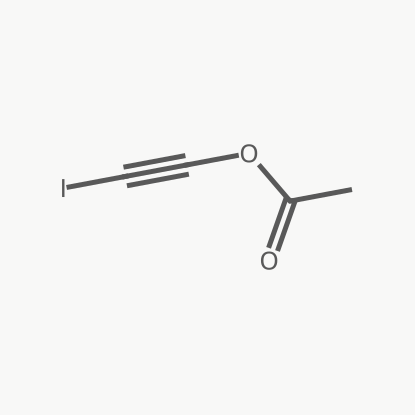 CC(=O)OC#CI